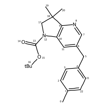 Cc1ccc(Cc2cnc3c(c2)N(C(=O)OC(C)(C)C)CC3(C)C)cc1